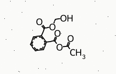 CC(=O)OC(=O)c1ccccc1C(=O)OCO